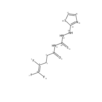 O=C(CCC(F)=C(F)F)NC(=S)NNc1nccs1